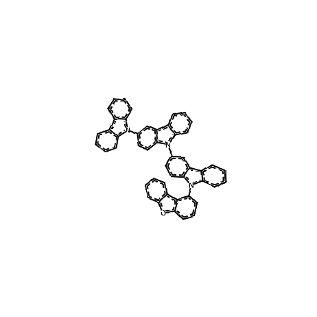 c1ccc2c(c1)oc1cccc(-n3c4ccccc4c4cc(-n5c6ccccc6c6cc(-n7c8ccccc8c8ccccc87)ccc65)ccc43)c12